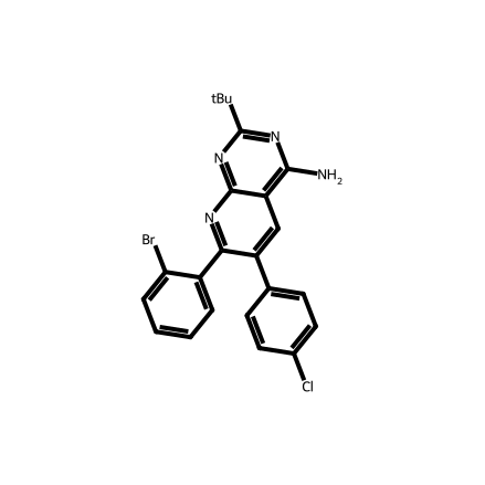 CC(C)(C)c1nc(N)c2cc(-c3ccc(Cl)cc3)c(-c3ccccc3Br)nc2n1